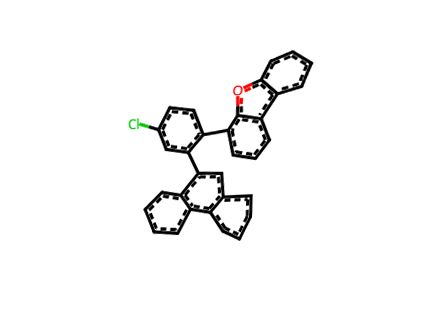 Clc1ccc(-c2cccc3c2oc2ccccc23)c(-c2cc3ccccc3c3ccccc23)c1